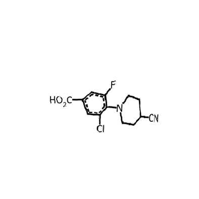 N#CC1CCN(c2c(F)cc(C(=O)O)cc2Cl)CC1